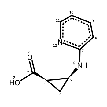 O=C(O)[C@@H]1C[C@@H]1Nc1ccccn1